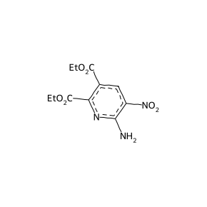 CCOC(=O)c1cc([N+](=O)[O-])c(N)nc1C(=O)OCC